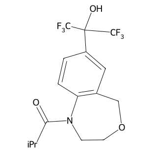 CC(C)C(=O)N1CCOCc2cc(C(O)(C(F)(F)F)C(F)(F)F)ccc21